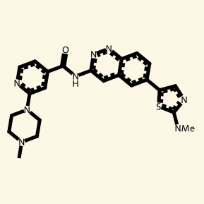 CNc1ncc(-c2ccc3nnc(NC(=O)c4ccnc(N5CCN(C)CC5)c4)cc3c2)s1